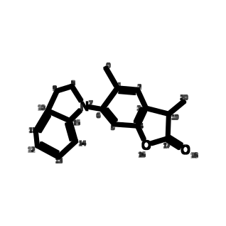 Cc1cc2c(cc1N1CCc3ccccc31)OC(=O)C2C